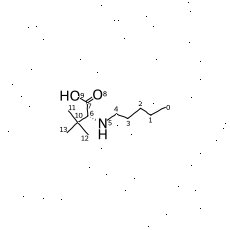 CCCCCN[C@@H](C(=O)O)C(C)(C)C